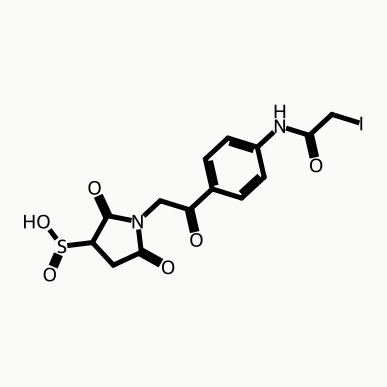 O=C(CI)Nc1ccc(C(=O)CN2C(=O)CC(S(=O)O)C2=O)cc1